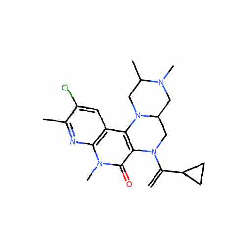 C=C(C1CC1)N1CC2CN(C)C(C)CN2c2c1c(=O)n(C)c1nc(C)c(Cl)cc21